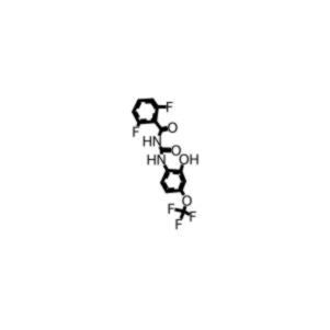 O=C(NC(=O)c1c(F)cccc1F)Nc1ccc(OC(F)(F)F)cc1O